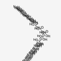 O=C(O)O.O=C(O)O.O=C(O)O.O=C(O)O.O=C(O)O.[NaH].[NaH].[NaH].[NaH].[NaH].[NaH].[NaH].[NaH].[NaH].[NaH].[NaH].[NaH].[NaH].[NaH].[NaH].[NaH].[NaH].[NaH].[NaH].[NaH].[NaH].[NaH].[NaH].[NaH].[NaH].[NaH].[NaH].[NaH].[NaH].[NaH].[NaH]